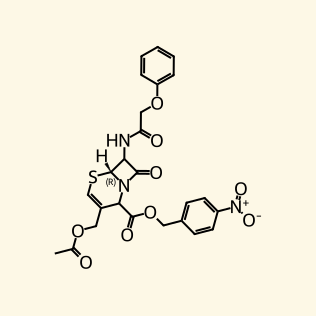 CC(=O)OCC1=CS[C@@H]2C(NC(=O)COc3ccccc3)C(=O)N2C1C(=O)OCc1ccc([N+](=O)[O-])cc1